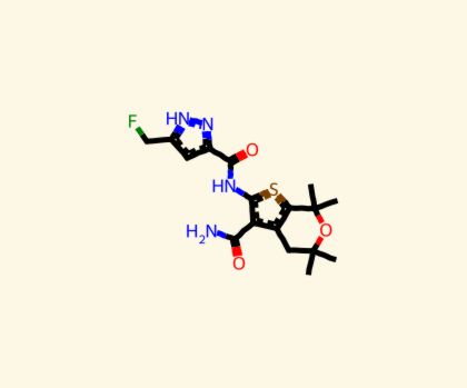 CC1(C)Cc2c(sc(NC(=O)c3cc(CF)[nH]n3)c2C(N)=O)C(C)(C)O1